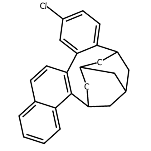 Clc1ccc2c(c1)-c1ccc3ccccc3c1C1CC3CC(CC2C3)C1